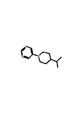 CC(C)C1CCN(c2cncnc2)CC1